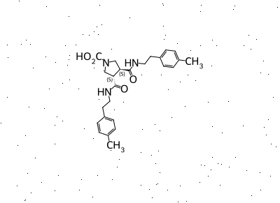 Cc1ccc(CCNC(=O)[C@@H]2CN(C(=O)O)C[C@H]2C(=O)NCCc2ccc(C)cc2)cc1